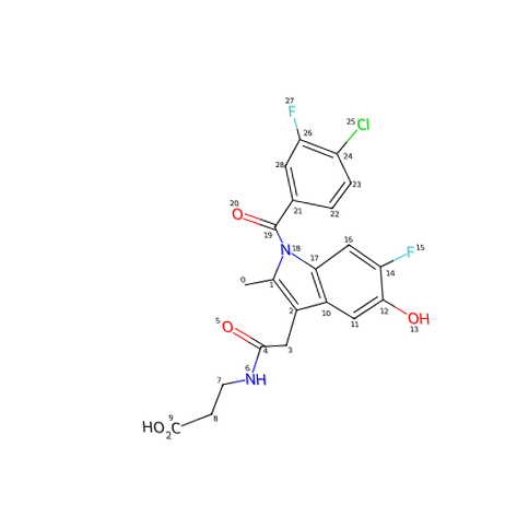 Cc1c(CC(=O)NCCC(=O)O)c2cc(O)c(F)cc2n1C(=O)c1ccc(Cl)c(F)c1